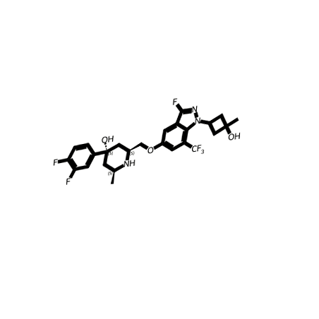 C[C@H]1C[C@@](O)(c2ccc(F)c(F)c2)C[C@@H](COc2cc(C(F)(F)F)c3c(c2)c(F)nn3C2CC(C)(O)C2)N1